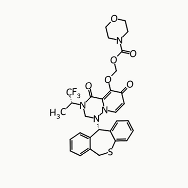 C[C@@H](N1CN([C@H]2c3ccccc3CSc3ccccc32)n2ccc(=O)c(OCOC(=O)N3CCOCC3)c2C1=O)C(F)(F)F